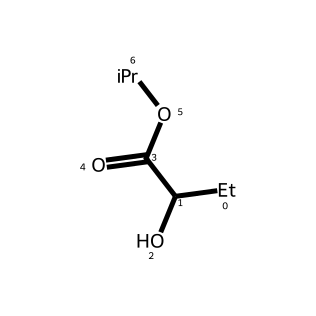 CCC(O)C(=O)OC(C)C